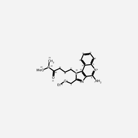 CCOCc1nc2c(N)nc3ccccc3c2n1CCCC(=O)N(C)OC